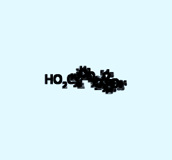 CC1(C)CCC[C@@H]1c1cc(COc2cccc([C@@H](CC(=O)O)C3CC3)c2)ccc1-c1cccc(OC2CC2)c1